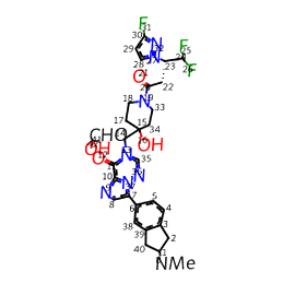 CNC1Cc2ccc(-c3cnc4c(=O)n(CC5(O)CCN(C(=O)C[C@@H](C(F)F)n6ccc(F)n6)CC5)cnn34)cc2C1.O=CO